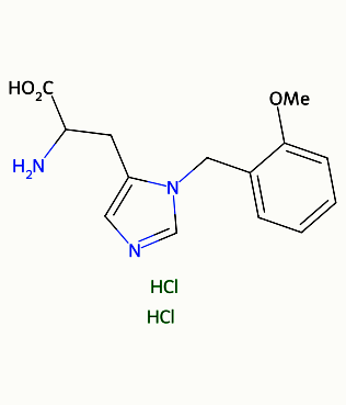 COc1ccccc1Cn1cncc1CC(N)C(=O)O.Cl.Cl